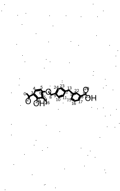 CC(=O)c1ccc(OCc2ccc(Cc3cccc(C(=O)O)c3)cc2)c(I)c1O